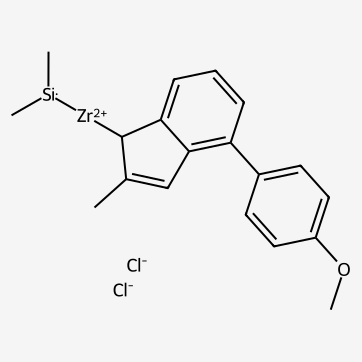 COc1ccc(-c2cccc3c2C=C(C)[CH]3[Zr+2][Si](C)C)cc1.[Cl-].[Cl-]